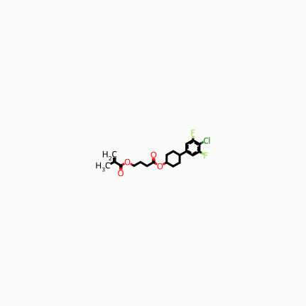 C=C(C)C(=O)OCCCC(=O)OC1CCC(c2cc(F)c(Cl)c(F)c2)CC1